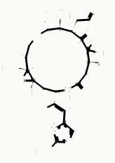 C=CC[C@H]1C(=O)C(C)(C)[C@@H](O)CC(=O)N[C@H](C(C)=Cc2csc(C)n2)C[C@@H]2O[C@]2(C)CCO[C@H](C)[C@H]1O